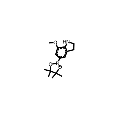 COc1cc(B2OC(C)(C)C(C)(C)O2)cc2c1NCC2